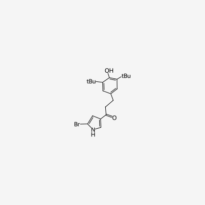 CC(C)(C)c1cc(CCC(=O)c2c[nH]c(Br)c2)cc(C(C)(C)C)c1O